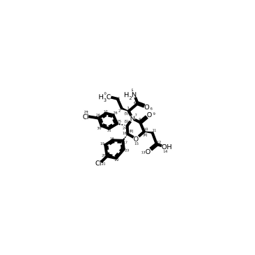 CCC[C@@H](C(N)=O)N1C(=O)[C@@H](CC(=O)O)O[C@H](c2ccc(Cl)cc2)[C@@H]1c1ccc(Cl)cc1